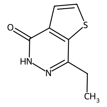 CCc1n[nH]c(=O)c2ccsc12